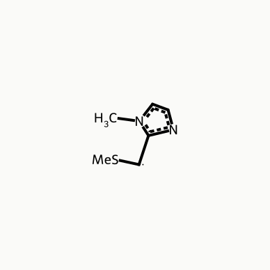 CS[CH]c1nccn1C